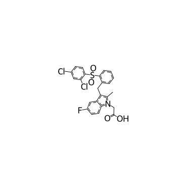 Cc1c(Cc2ccccc2S(=O)(=O)c2ccc(Cl)cc2Cl)c2cc(F)ccc2n1CC(=O)O